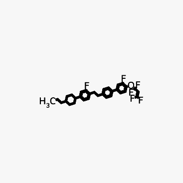 CCCC1CCC(c2ccc(CCc3ccc(-c4ccc(OC(F)(F)C=C(F)F)c(F)c4)cc3)c(F)c2)CC1